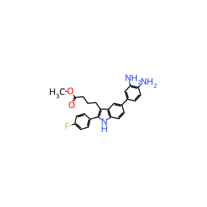 COC(=O)CCCc1c(-c2ccc(F)cc2)[nH]c2ccc(-c3ccc(N)c(N)c3)cc12